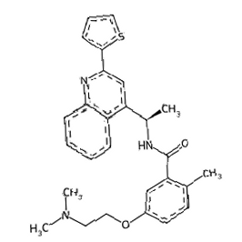 Cc1ccc(OCCN(C)C)cc1C(=O)N[C@H](C)c1cc(-c2cccs2)nc2ccccc12